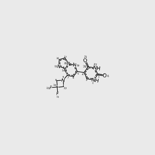 O=c1[nH]cc(-c2cc(N3CC(F)(F)C3)c3nccn3n2)c(=O)[nH]1